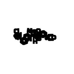 COc1ccc(C2(C)CCOCC2)cc1S(=O)(=O)NC(=O)c1ccc2c(-n3ccc(Cl)n3)cccc2n1